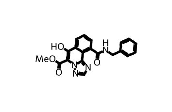 COC(=O)c1c(O)c2cccc(C(=O)NCc3ccccc3)c2c2ncnn12